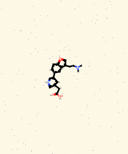 CN(C)CCc1coc2ccc(-c3cncc(CC(=O)O)c3)cc12